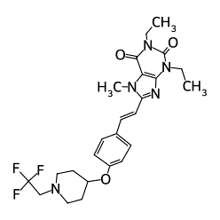 CCn1c(=O)c2c(nc(/C=C/c3ccc(OC4CCN(CC(F)(F)F)CC4)cc3)n2C)n(CC)c1=O